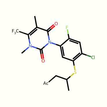 CC(=O)CC(C)Sc1cc(-n2c(=O)c(C)c(C(F)(F)F)n(C)c2=O)c(F)cc1Cl